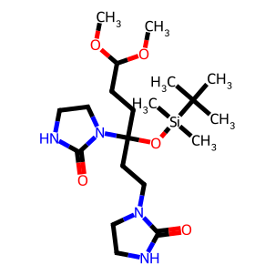 COC(CCC(CCN1CCNC1=O)(O[Si](C)(C)C(C)(C)C)N1CCNC1=O)OC